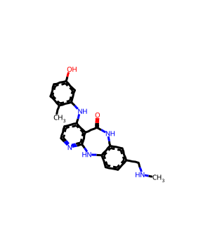 CNCc1ccc2c(c1)NC(=O)c1c(Nc3cc(O)ccc3C)ccnc1N2